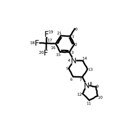 Cc1cc(N2CCC(N3CCCC3)CC2)cc(C(F)(F)F)c1